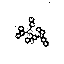 c1ccc2cc(-c3nc(-c4cc5ccccc5c5ccccc45)nc(-c4cc(-n5c6cc7ccccc7cc6c6ccc7ccccc7c65)cc5oc6ccccc6c45)n3)ccc2c1